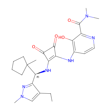 CCc1cn(C)nc1[C@H](Nc1c(Nc2ccnc(C(=O)N(C)C)c2O)c(=O)c1=O)C1(C)CCCC1